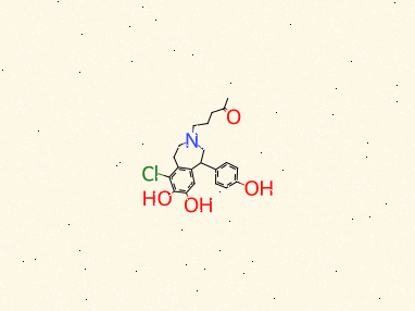 CC(=O)CCCN1CCc2c(cc(O)c(O)c2Cl)C(c2ccc(O)cc2)C1